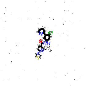 Cc1nc(N2CCSCC2)ccc1C(=O)Nc1ccc(Cl)c(-c2ccccn2)c1